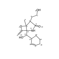 C=C1OC2(C)C(CCO)C(=O)NC12C(O)C1C=CCCC1